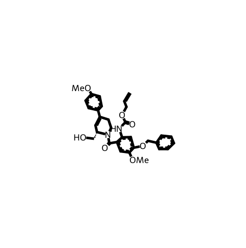 C=CCOC(=O)Nc1cc(OCc2ccccc2)c(OC)cc1C(=O)N1CCC(c2ccc(OC)cc2)=C[C@H]1CO